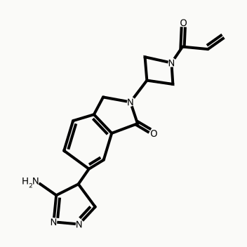 C=CC(=O)N1CC(N2Cc3ccc(C4C=NN=C4N)cc3C2=O)C1